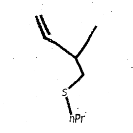 [CH2]CCSCC(C)C=C